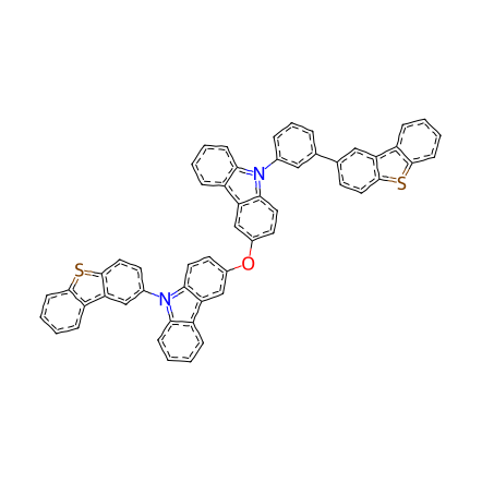 c1cc(-c2ccc3sc4ccccc4c3c2)cc(-n2c3ccccc3c3cc(Oc4ccc5c(c4)c4ccccc4n5-c4ccc5sc6ccccc6c5c4)ccc32)c1